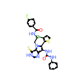 O=C(Nc1ccccc1)Nc1c(-c2sccc2Cl)n(CCNC(=O)c2ccc(F)cc2)c2c(=S)[nH]cnc12